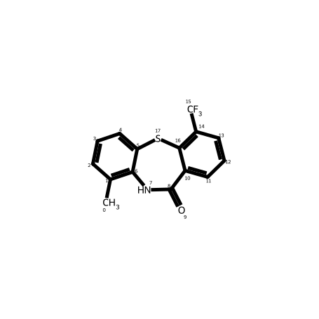 Cc1cccc2c1NC(=O)c1cccc(C(F)(F)F)c1S2